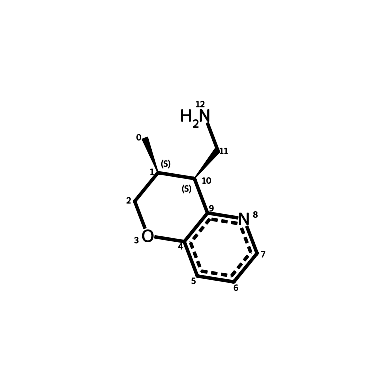 C[C@@H]1COc2cccnc2[C@@H]1CN